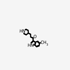 Cc1ccc2[nH]cc(C(=O)CCC3CCNCC3)c2c1